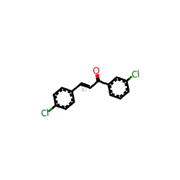 O=C(/C=C/c1ccc(Cl)cc1)c1cccc(Cl)c1